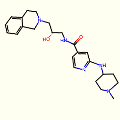 CN1CCC(Nc2cc(C(=O)NC[C@H](O)CN3CCc4ccccc4C3)ccn2)CC1